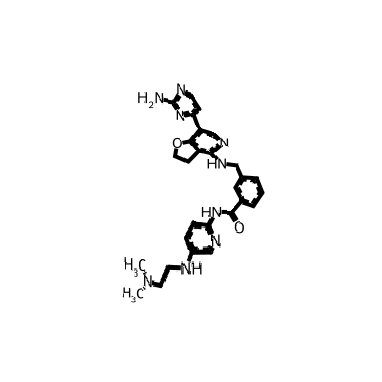 CN(C)CCNc1ccc(NC(=O)c2cccc(CNc3ncc(-c4ccnc(N)n4)c4c3CCO4)c2)nc1